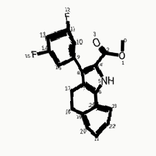 COC(=O)c1[nH]c2c(c1-c1cc(F)cc(F)c1)CCc1ccccc1-2